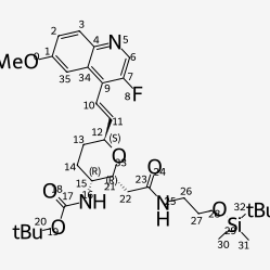 COc1ccc2ncc(F)c(C=C[C@@H]3CC[C@@H](NC(=O)OC(C)(C)C)[C@@H](CC(=O)NCCO[Si](C)(C)C(C)(C)C)O3)c2c1